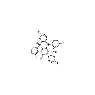 O=P1(c2cccc(F)c2)c2cc(F)ccc2N2c3ccc(F)cc3P(=O)(c3cccc(F)c3)c3cc(F)cc1c32